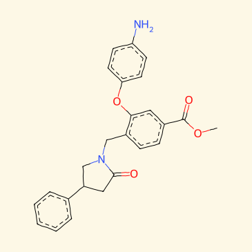 COC(=O)c1ccc(CN2CC(c3ccccc3)CC2=O)c(Oc2ccc(N)cc2)c1